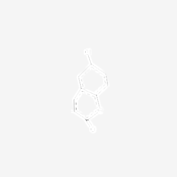 O=c1[c]cc2cc(Cl)ccc2o1